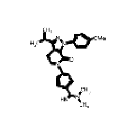 C=C(C)c1nn(-c2ccc(OC)cc2)c2c1CCN(c1ccc(C(=N)N(C)C)cc1)C2=O